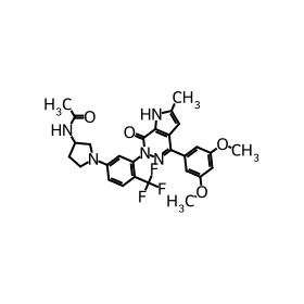 COc1cc(OC)cc(-c2nn(-c3cc(N4CCC(NC(C)=O)C4)ccc3C(F)(F)F)c(=O)c3[nH]c(C)cc23)c1